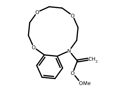 C=C(OOC)N1CCOCCOCCOc2ccccc21